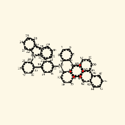 c1ccc(-c2ccccc2N(c2ccc(-c3ccccc3-n3c4ccccc4c4ccccc43)cc2)c2cccc(-c3cc4ccccc4c4ccccc34)c2)cc1